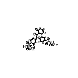 CONS(=O)(=O)c1ccc(N(C(=O)C2=CC=CCC2=S)C2=CC(=S)C(S(=O)(=O)NOC)C=C2)cc1